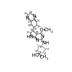 COc1nc(NC2CCC(C)(O)CC2)nc2[nH]cc(-c3ccc4nccnc4c3)c12